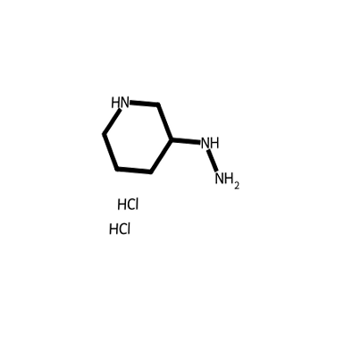 Cl.Cl.NNC1CCCNC1